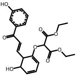 CCOC(=O)C(OC1=CC=CC(O)C1C=CC(=O)c1cccc(O)c1)C(=O)OCC